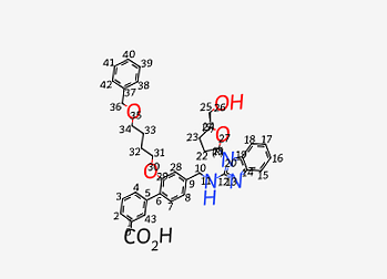 O=C(O)c1cccc(-c2ccc(CNc3nc4ccccc4n3[C@H]3CC[C@@H](CO)O3)cc2OCCCCOCc2ccccc2)c1